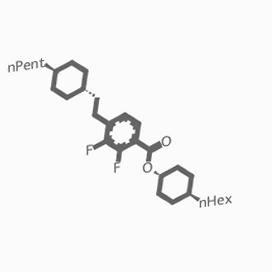 CCCCCC[C@H]1CC[C@H](OC(=O)c2ccc(CC[C@H]3CC[C@H](CCCCC)CC3)c(F)c2F)CC1